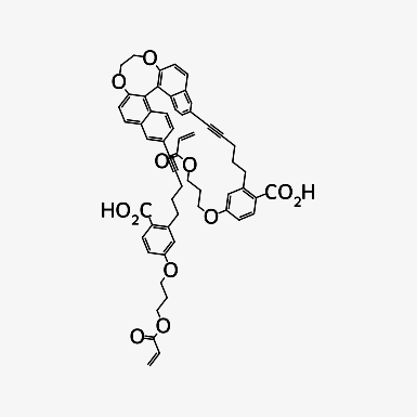 C=CC(=O)OCCCOc1ccc(C(=O)O)c(CCCC#Cc2ccc3c4c(ccc3c2)OCCOc2ccc3cc(C#CCCCc5cc(OCCCOC(=O)C=C)ccc5C(=O)O)ccc3c2-4)c1